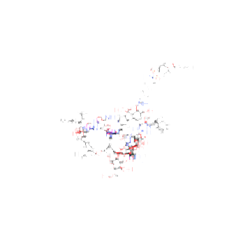 CCCCCOc1ccc(S(=O)(=O)NCCCCCCNCc2c(O)cc3c4c2C(O)(O)c2ccc(cc2-4)[C@H]2NC(=O)[C@@H]4NC(=O)[C@H](CC(N)=O)NC(=O)[C@H](NC(=O)[C@@H](CC(C)C)NC)[C@H](O)c5ccc(c(C)c5)Oc5cc4cc(c5O[C@@H]4O[C@H](CO)[C@@H](O)[C@H](O)[C@H]4O[C@H]4C[C@](C)(N)[C@H](O)[C@H](C)O4)Oc4ccc(cc4Cl)[C@@H](O)[C@H](NC2=O)C(=O)N[C@@H]3C(=O)NC2C3CC4CC(C3)CC2C4)cc1